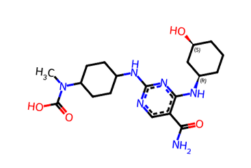 CN(C(=O)O)C1CCC(Nc2ncc(C(N)=O)c(N[C@@H]3CCC[C@H](O)C3)n2)CC1